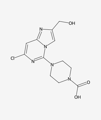 O=C(O)N1CCN(c2nc(Cl)cc3nc(CO)cn23)CC1